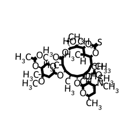 CC[C@H]1OC(=O)[C@H](C)[C@@H](OC2C[C@@](C)(OC)[C@@H](OC(C)=O)[C@H](C)O2)[C@H](C)[C@@H](OC2O[C@H](C)C[C@H](N(C)C)[C@H]2OC(C)=O)[C@@](C)(O)C[C@@H](C)C2OC(=S)OC([C@H]2C)[C@]1(C)O